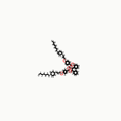 CCCCCCC[C@H]1CC[C@H](C=CCOc2ccc(C(=O)O[C@H](c3ccccc3)[C@H](OC(=O)c3ccc(OCC=C[C@H]4CC[C@H](CCCCCCC)CC4)cc3)c3ccccc3)cc2)CC1